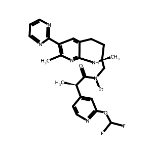 CCN(C[C@@]1(C)CCc2cc(-c3ncccn3)c(C)nc2N1)C(=O)[C@H](C)c1ccnc(OC(F)F)c1